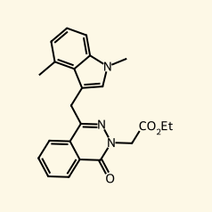 CCOC(=O)Cn1nc(Cc2cn(C)c3cccc(C)c23)c2ccccc2c1=O